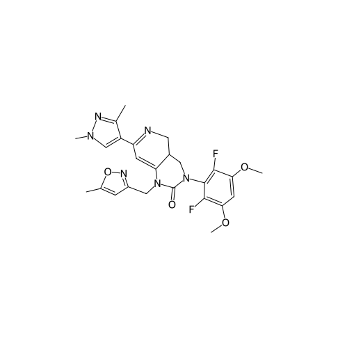 COc1cc(OC)c(F)c(N2CC3CN=C(c4cn(C)nc4C)C=C3N(Cc3cc(C)on3)C2=O)c1F